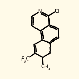 CC1Cc2ccc3c(Cl)nccc3c2C=C1C(F)(F)F